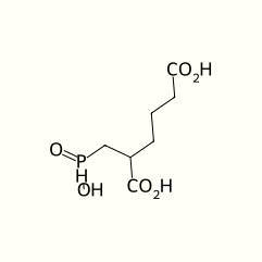 O=C(O)CCCC(C[PH](=O)O)C(=O)O